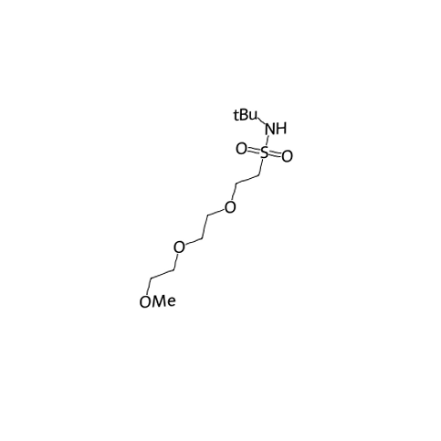 COCCOCCOCCS(=O)(=O)NC(C)(C)C